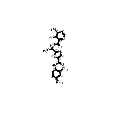 CC(NC(=O)c1ncnc(N)c1Br)c1ncc(C(=O)Nc2ccc([N+](=O)[O-])cc2C(F)(F)F)s1